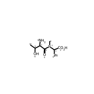 CC(C)C(C(=O)O)N(C)C(=O)C(N)C(C)O